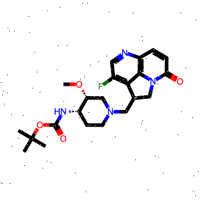 CO[C@@H]1CN(CC2Cn3c(=O)ccc4ncc(F)c2c43)CC[C@@H]1NC(=O)OC(C)(C)C